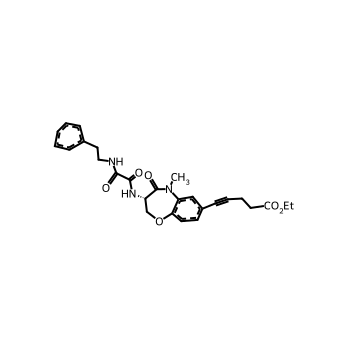 CCOC(=O)CCC#Cc1ccc2c(c1)N(C)C(=O)[C@@H](NC(=O)C(=O)NCCc1ccccc1)CO2